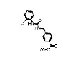 CCc1ccccc1NC(=O)NCc1ccc(C(=O)OC)cc1